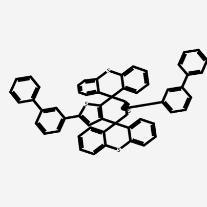 c1ccc(-c2cccc(-c3cc4c(s3)C3(c5ccccc5Sc5ccccc53)c3cc(-c5cccc(-c6ccccc6)c5)sc3C43c4ccccc4Sc4ccccc43)c2)cc1